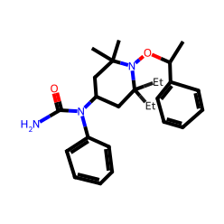 CCC1(CC)CC(N(C(N)=O)c2ccccc2)CC(C)(C)N1OC(C)c1ccccc1